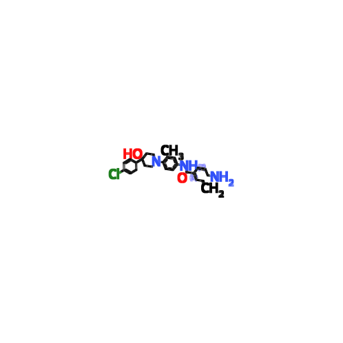 C=C/C=C(\C=C/CN)C(=O)Nc1ccc(N2CCC(O)(C3C=CC(Cl)=CC3)CC2)c(C)c1